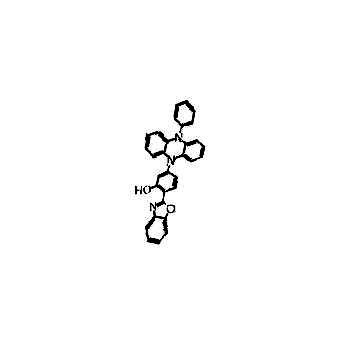 Oc1cc(N2c3ccccc3N(c3ccccc3)c3ccccc32)ccc1-c1nc2ccccc2o1